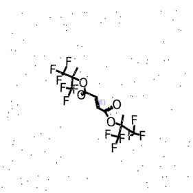 CC(OC(=O)/C=C/C(=O)OC(C)(C(F)(F)F)C(F)(F)F)(C(F)(F)F)C(F)(F)F